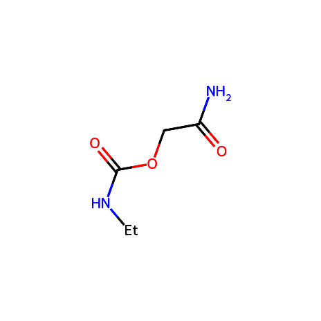 CCNC(=O)OCC(N)=O